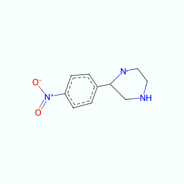 O=[N+]([O-])c1ccc(C2CNCC[N]2)cc1